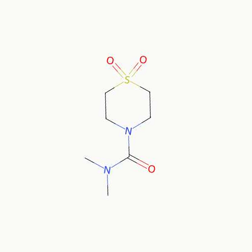 CN(C)C(=O)N1CCS(=O)(=O)CC1